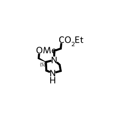 CCOC(=O)CCN1CCNC[C@H]1COC